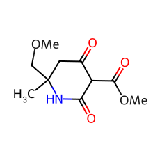 COCC1(C)CC(=O)C(C(=O)OC)C(=O)N1